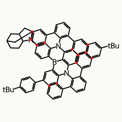 CC(C)(C)c1ccc(-c2ccc3c(c2)B2c4ccc(N5C6CC7CCC5C(C7)C6)cc4N(c4c(-c5ccccc5)cccc4-c4ccccc4)c4cc(-c5ccc(C(C)(C)C)cc5)cc(c42)N3c2c(-c3ccccc3)cccc2-c2ccccc2)cc1